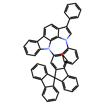 c1ccc(-c2cn(-c3ccccc3)c3c2ccc2c4ccccc4n(-c4ccc5c(c4)C4(c6ccccc6-c6ccccc64)c4ccccc4-5)c23)cc1